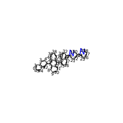 C1=CC2C=CC(c3c4ccccc4c(-c4cccc5c(C6CC=C(c7ccccn7)C=N6)cccc45)c4ccccc34)=CC2C=C1